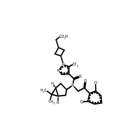 CC1(C)[C@@H]2CC(N(CC(=O)c3c(Cl)cccc3Cl)C(=O)c3cnn(C4CC(CC(=O)O)C4)c3C(F)(F)F)C[C@@H]21